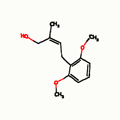 COc1cccc(OC)c1CC=C(C)CO